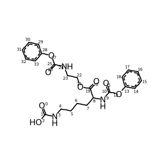 O=C(O)NCCCCC(NC(=O)Oc1ccccc1)C(=O)OCCNC(=O)Oc1ccccc1